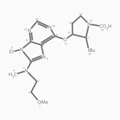 CCn1c(N(C)CCOC)nc2c(OC3CCN(C(=O)O)C3C(C)(C)C)ncnc21